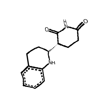 O=C1CC[C@H](C2CCc3ccccc3N2)C(=O)N1